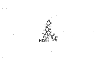 CCO[C@H](CC(=O)NO)[C@H](Cc1cccc(-c2ccncc2)c1)c1ccc(F)cc1